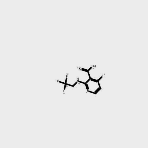 O=C(O)c1c(F)ccnc1NCC(F)(F)F